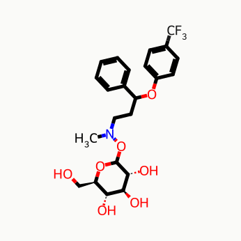 CN(CCC(Oc1ccc(C(F)(F)F)cc1)c1ccccc1)OC1O[C@H](CO)[C@@H](O)[C@H](O)[C@H]1O